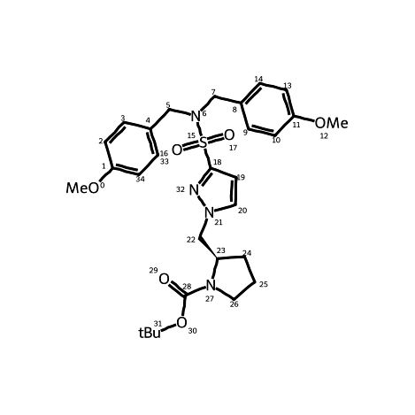 COc1ccc(CN(Cc2ccc(OC)cc2)S(=O)(=O)c2ccn(C[C@H]3CCCN3C(=O)OC(C)(C)C)n2)cc1